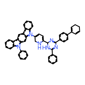 C1=CC(c2ccc(C3=NC(C4=CC=C(n5c6ccccc6c6cc7c8ccccc8n(-c8ccccc8)c7cc65)CN4)NC(c4ccccc4)=N3)cc2)=CCC1